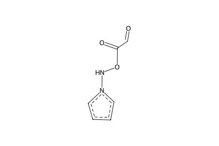 O=CC(=O)ONn1cccc1